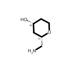 NC[C@@H]1C[C@H](O)CCO1